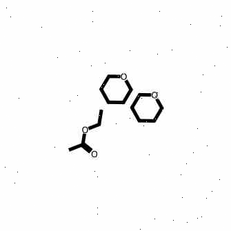 C1CCOCC1.C1CCOCC1.CCOC(C)=O